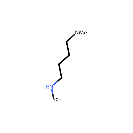 [CH2]CCNCCCCNC